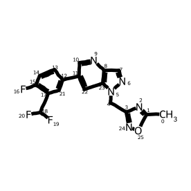 Cc1nc(Cn2ncc3ncc(-c4ccc(F)c(C(F)F)c4)cc32)no1